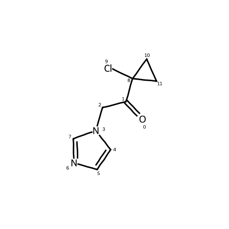 O=C(Cn1ccnc1)C1(Cl)CC1